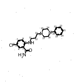 NC(=O)c1cc(Cl)ccc1NCCCN1CCN(c2ccccc2)CC1